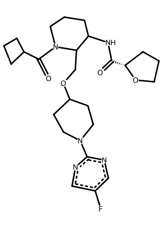 O=C(NC1CCCN(C(=O)C2CCC2)C1COC1CCN(c2ncc(F)cn2)CC1)[C@@H]1CCCO1